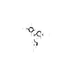 CN1CCC2(CC1)Nc1cc(Cl)c(Cl)cc1N=C2NCc1cc[nH]n1